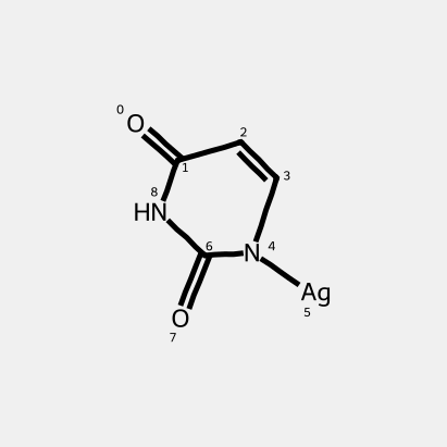 O=c1cc[n]([Ag])c(=O)[nH]1